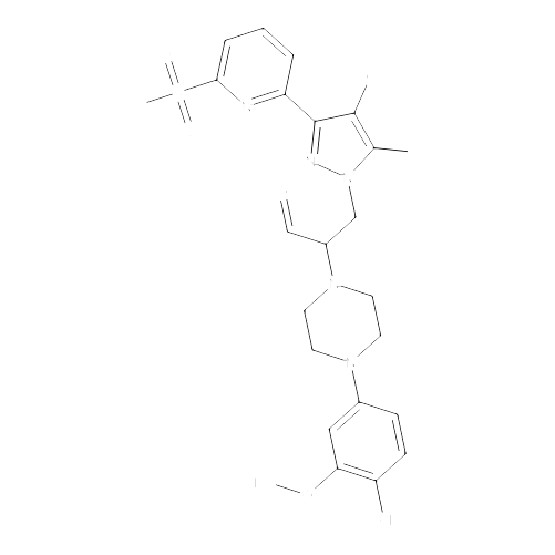 COc1cc(N2CCN(C(C=O)Cn3nc(-c4cccc(S(C)(=O)=O)n4)c(Cl)c3C)CC2)ccc1Cl